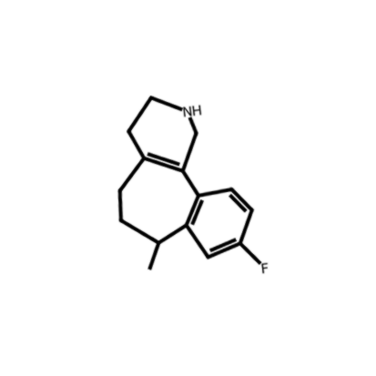 CC1CCC2=C(CNCC2)c2ccc(F)cc21